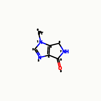 CC(C)n1cnc2c1CNC2=O